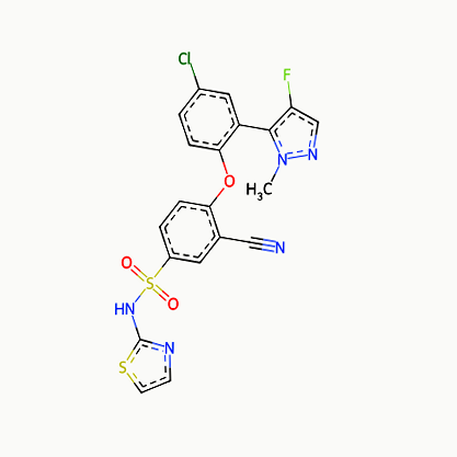 Cn1ncc(F)c1-c1cc(Cl)ccc1Oc1ccc(S(=O)(=O)Nc2nccs2)cc1C#N